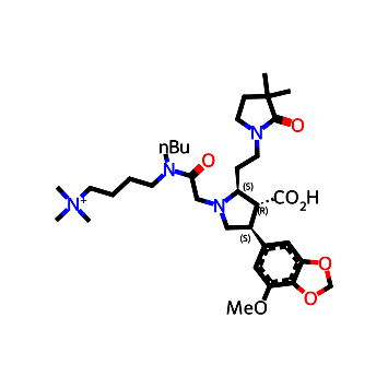 CCCCN(CCCC[N+](C)(C)C)C(=O)CN1C[C@H](c2cc(OC)c3c(c2)OCO3)[C@@H](C(=O)O)[C@@H]1CCN1CCC(C)(C)C1=O